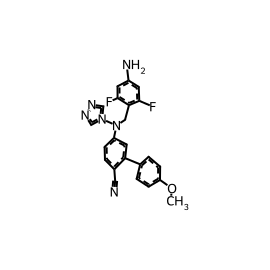 COc1ccc(-c2cc(N(Cc3c(F)cc(N)cc3F)n3cnnc3)ccc2C#N)cc1